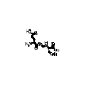 N[C@@H](CCC(=O)O)C(=O)[Se]CN[C@@H](C[SeH])C(=O)O